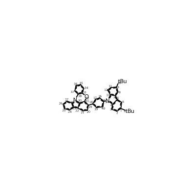 CC(C)(C)c1ccc2c(c1)c1cc(C(C)(C)C)ccc1n2-c1ccc(-c2ccc3c4ccccc4n4c3c2Oc2ccccc2-4)cc1